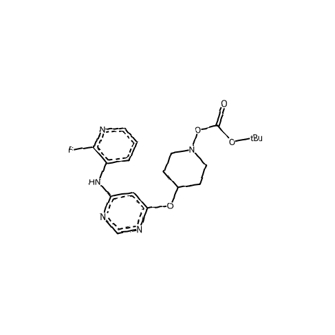 CC(C)(C)OC(=O)ON1CCC(Oc2cc(Nc3cccnc3F)ncn2)CC1